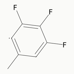 Cc1[c]c(F)c(F)c(F)c1